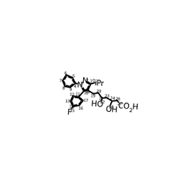 CC(C)c1nn(-c2ccccc2)c(-c2ccc(F)cc2)c1CCC(O)CC(O)CC(=O)O